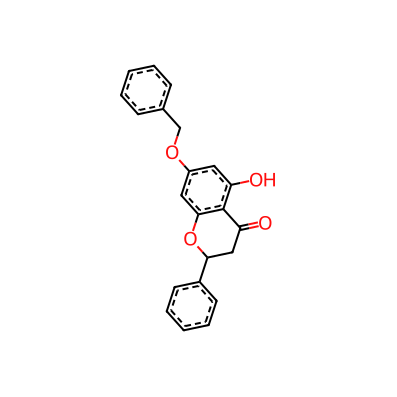 O=C1CC(c2ccccc2)Oc2cc(OCc3ccccc3)cc(O)c21